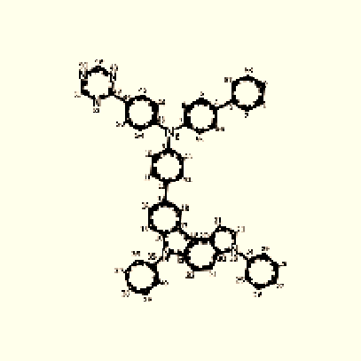 c1ccc(-c2ccc(N(c3ccc(-c4ccc5c(c4)c4c6ccn(-c7ccccc7)c6ccc4n5-c4ccccc4)cc3)c3ccc(-c4ncncn4)cc3)cc2)cc1